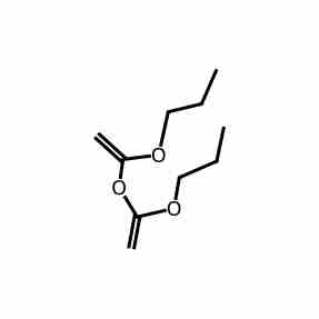 C=C(OCCC)OC(=C)OCCC